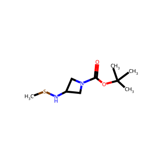 CSNC1CN(C(=O)OC(C)(C)C)C1